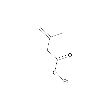 C=C(C)CC(=O)OCC